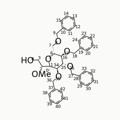 CO[C@]1(CCO)O[C@H](COCc2ccccc2)[C@@H](OCc2ccccc2)[C@H](OCc2ccccc2)[C@H]1OCc1ccccc1